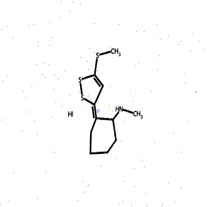 CNC1CCCC/C1=C1/C=C(SC)SS1.I